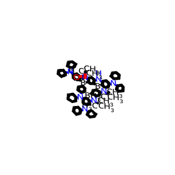 CC(C)(C)N1c2cc3c(cc2B2c4cc5c(cc4Nc4cc(N(c6ccccc6)c6ccccc6)cc1c42)N(C(C)(C)C)c1cc(N(c2ccccc2)c2ccccc2)cc2c1B5c1ccccc1O2)B1c2ccccc2N(c2ccccc2)c2cc(N(c4ccccc4)c4ccccc4)cc(c21)N3C(C)(C)C